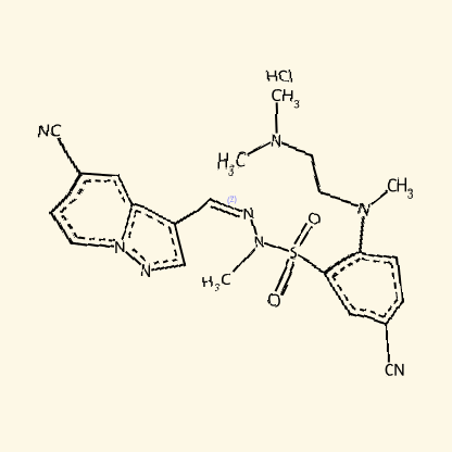 CN(C)CCN(C)c1ccc(C#N)cc1S(=O)(=O)N(C)/N=C\c1cnn2ccc(C#N)cc12.Cl